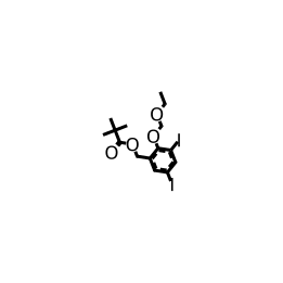 CCOCOc1c(I)cc(I)cc1COC(=O)C(C)(C)C